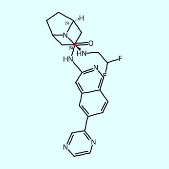 O=C(Nc1cc2cc(-c3cnccn3)ccc2cn1)N1C2CC[C@H]1C[C@@H](NCC(F)F)C2